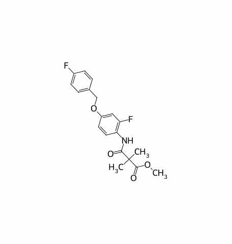 COC(=O)C(C)(C)C(=O)Nc1ccc(OCc2ccc(F)cc2)cc1F